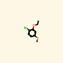 CCOc1cc(SC)ccc1Br